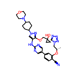 C[C@@H](Cn1cnnn1)Oc1cc(-c2cnc(Nc3cn(C4CCC(N5CCOCC5)CC4)nc3OCC3(O)CC3)nc2)ccc1C#N